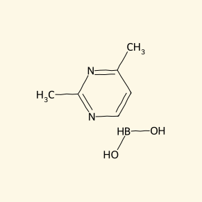 Cc1ccnc(C)n1.OBO